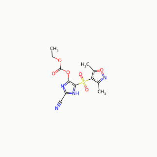 CCOC(=O)Oc1nc(C#N)[nH]c1S(=O)(=O)c1c(C)noc1C